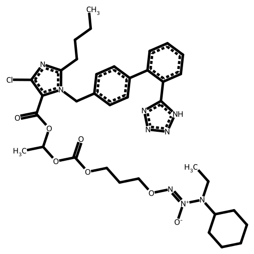 CCCCc1nc(Cl)c(C(=O)OC(C)OC(=O)OCCCO/N=[N+](\[O-])N(CC)C2CCCCC2)n1Cc1ccc(-c2ccccc2-c2nnn[nH]2)cc1